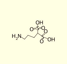 NCCCC(S(=O)(=O)O)S(=O)(=O)O